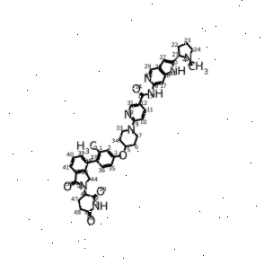 Cc1cc(OC2CCN(c3ccc(C(=O)Nc4cc5[nH]c([C@H]6CCCN6C)cc5cn4)cn3)CC2)ccc1-c1cccc2c1CN(C1CCC(=O)NC1=O)C2=O